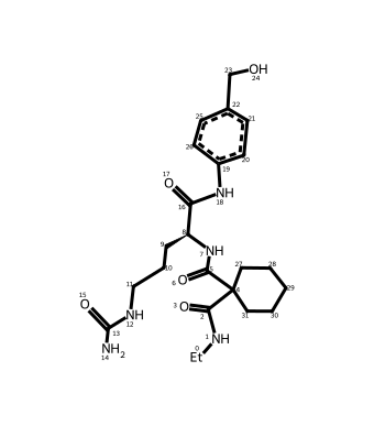 CCNC(=O)C1(C(=O)N[C@@H](CCCNC(N)=O)C(=O)Nc2ccc(CO)cc2)CCCCC1